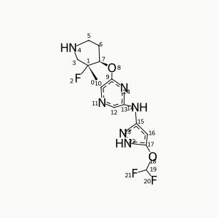 C[C@@]1(F)CNCC[C@H]1Oc1cncc(Nc2cc(OC(F)F)[nH]n2)n1